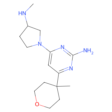 CNC1CCN(c2cc(C3(C)CCOCC3)nc(N)n2)C1